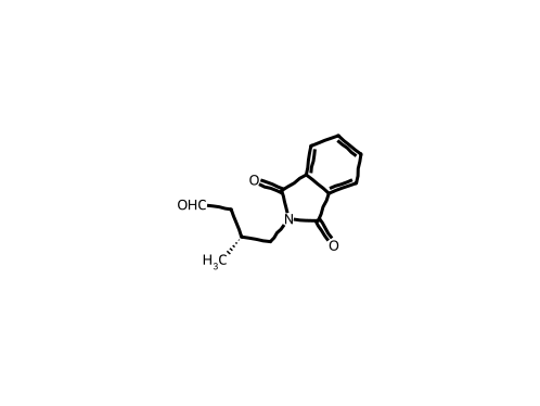 C[C@H](CC=O)CN1C(=O)c2ccccc2C1=O